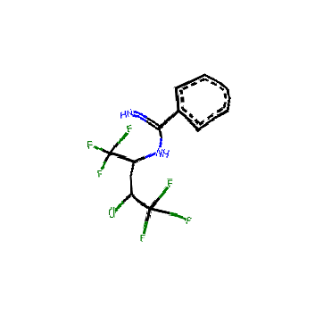 N=C(NC(C(Cl)C(F)(F)F)C(F)(F)F)c1ccccc1